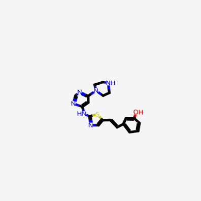 Oc1cccc(/C=C/c2cnc(Nc3cc(N4CCNCC4)ncn3)s2)c1